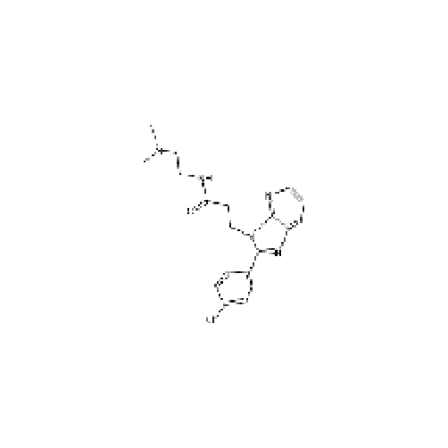 CN(C)CCNC(=O)CCn1c(-c2ccc(Cl)cc2)nc2cccnc21